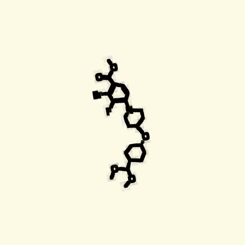 COC(=O)c1ccc(N2CCC(O[C@H]3CC[C@H](C(OC)OC)CC3)CC2)c(F)c1Br